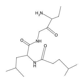 CCC(N)C(=O)CNC(=O)C(CC(C)C)NC(=O)CCC(C)C